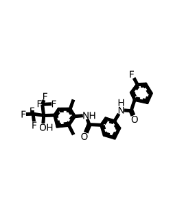 Cc1cc(C(O)(C(F)(F)F)C(F)(F)F)cc(C)c1NC(=O)c1cccc(NC(=O)c2cccc(F)c2)c1